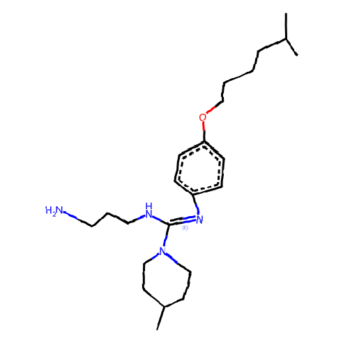 CC(C)CCCCOc1ccc(/N=C(\NCCCN)N2CCC(C)CC2)cc1